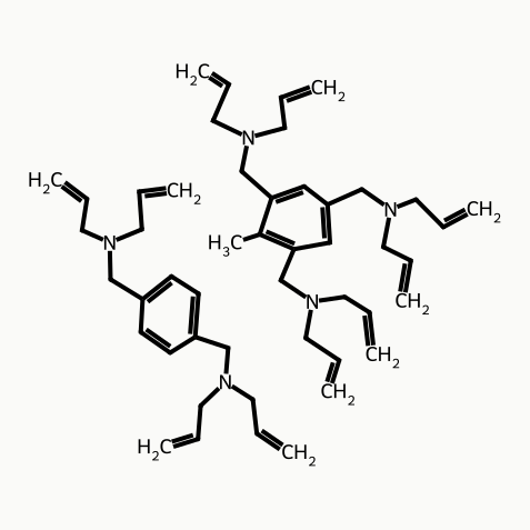 C=CCN(CC=C)Cc1cc(CN(CC=C)CC=C)c(C)c(CN(CC=C)CC=C)c1.C=CCN(CC=C)Cc1ccc(CN(CC=C)CC=C)cc1